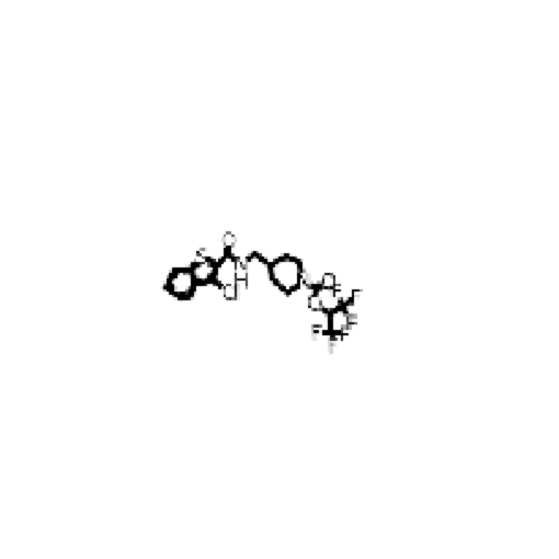 O=C(NCC1CCN(C(=O)OC(C(F)(F)F)C(F)(F)F)CC1)c1sc2ccccc2c1Cl